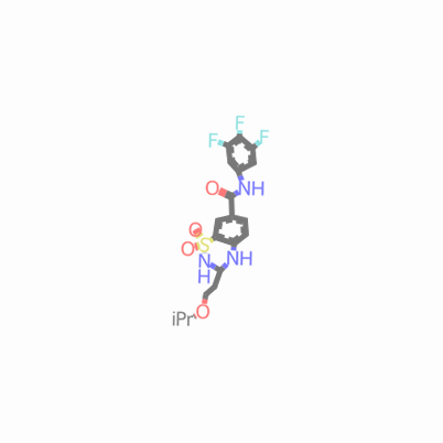 CC(C)OCCC1Nc2ccc(C(=O)Nc3cc(F)c(F)c(F)c3)cc2S(=O)(=O)N1